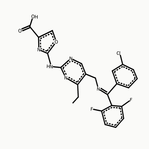 CCc1nc(Nc2nc(C(=O)O)co2)ncc1C/N=C(\c1cccc(Cl)c1)c1c(F)cccc1F